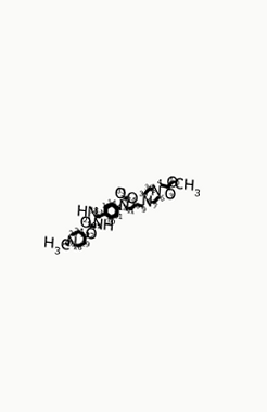 COC(=O)CN1CCN(CC2CN(c3ccc(C(=N)NC(=O)OC4CCN(C)CC4)cc3)C(=O)O2)CC1